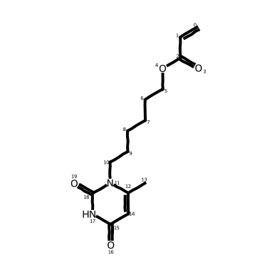 C=CC(=O)OCCCCCCn1c(C)cc(=O)[nH]c1=O